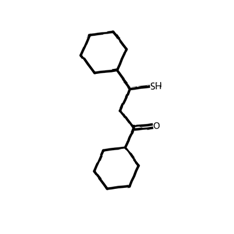 O=C(CC(S)C1CCCCC1)C1CCCCC1